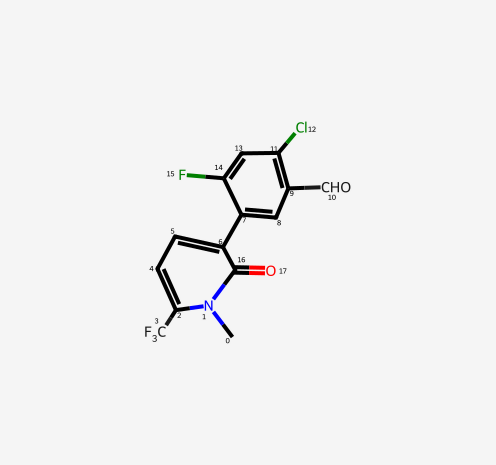 Cn1c(C(F)(F)F)ccc(-c2cc(C=O)c(Cl)cc2F)c1=O